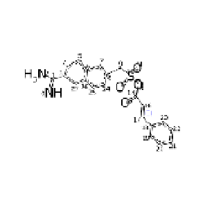 N=C(N)c1ccc2cc(CS(=O)(=O)OC(=O)/C=C/c3ccccc3)ccc2c1